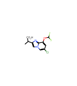 CC(C(=O)O)c1cn2cc(Cl)cc(OC(F)F)c2n1